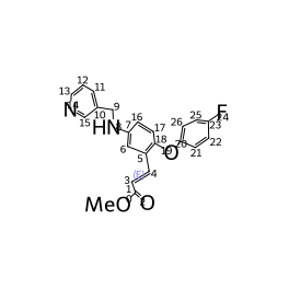 COC(=O)/C=C/c1cc(NCc2cccnc2)ccc1Oc1ccc(F)cc1